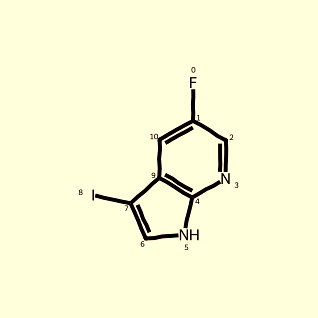 Fc1cnc2[nH]cc(I)c2c1